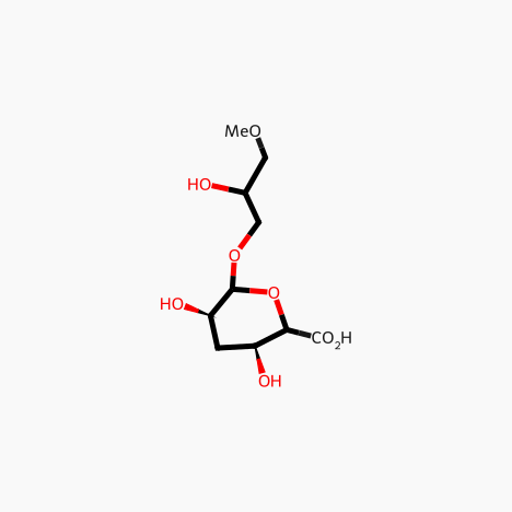 COCC(O)COC1OC(C(=O)O)[C@@H](O)C[C@H]1O